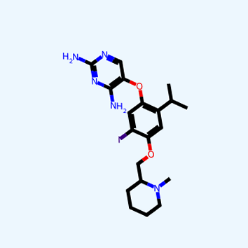 CC(C)c1cc(OCC2CCCCN2C)c(I)cc1Oc1cnc(N)nc1N